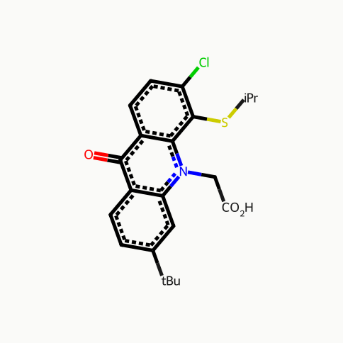 CC(C)Sc1c(Cl)ccc2c(=O)c3ccc(C(C)(C)C)cc3n(CC(=O)O)c12